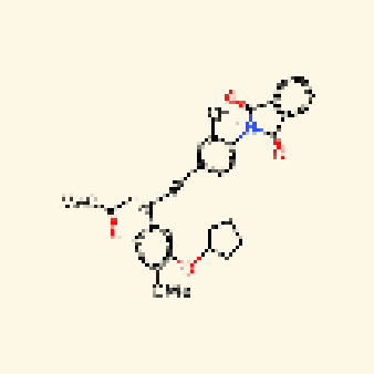 COC(=O)C[C@H](C#Cc1ccc(N2C(=O)c3ccccc3C2=O)c(C)c1)c1ccc(OC)c(OC2CCCC2)c1